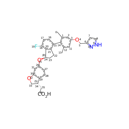 Cc1cc(OCc2cc[nH]n2)cc(C)c1-c1ccc(F)c2c1CC[C@H]2Oc1ccc2c(c1)OC[C@H]2CC(=O)O